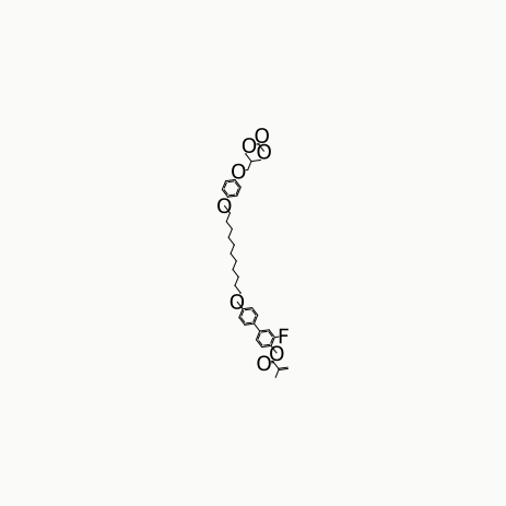 C=C(C)C(=O)Oc1ccc(-c2ccc(OCCCCCCCCCCCOc3ccc(OCC4COC(=O)OC4)cc3)cc2)cc1F